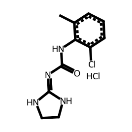 Cc1cccc(Cl)c1NC(=O)N=C1NCCN1.Cl